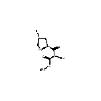 CC(C)(C)OC(=O)N(C(=O)[C@@H]1C[C@H](F)CN1)C(C)(C)C